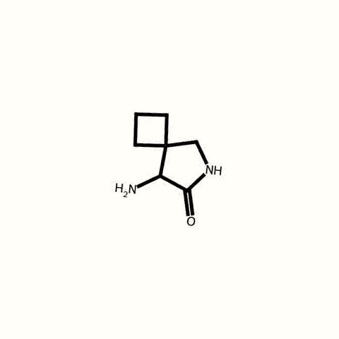 NC1C(=O)NCC12CCC2